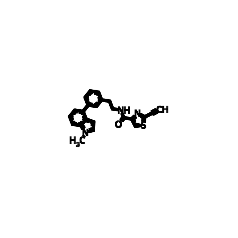 C#Cc1nc(C(=O)NCCc2cccc(-c3cccc4c3ccn4C)c2)cs1